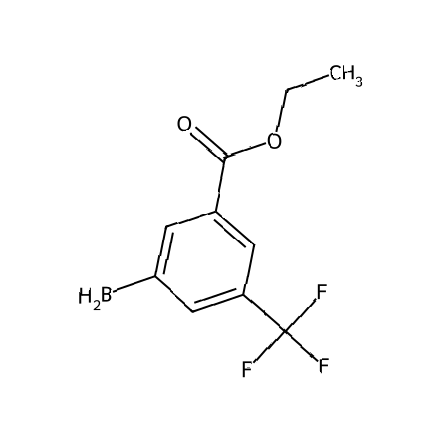 Bc1cc(C(=O)OCC)cc(C(F)(F)F)c1